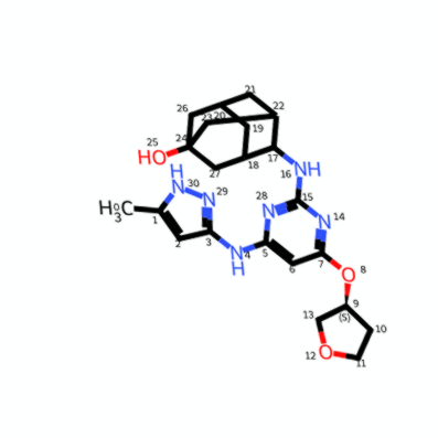 Cc1cc(Nc2cc(O[C@H]3CCOC3)nc(NC3C4CC5CC3CC(O)(C5)C4)n2)n[nH]1